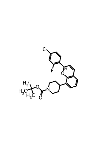 CC(C)(C)OC(=O)N1CCC(c2cccc3c2O[C@@H](c2ccc(Cl)cc2F)C=C3)CC1